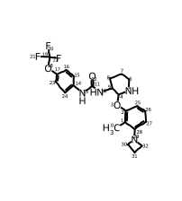 Cc1c(OC2NCCCC2NC(=O)Nc2ccc(OC(F)(F)F)cc2)cccc1N1CCC1